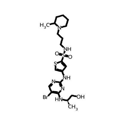 CC1CCCCN1CCCNS(=O)(=O)c1cc(Nc2ncc(Br)c(N[C@H](C)CO)n2)cs1